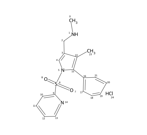 CNCc1cn(S(=O)(=O)c2ccccn2)c(-c2ccccc2)c1C.Cl